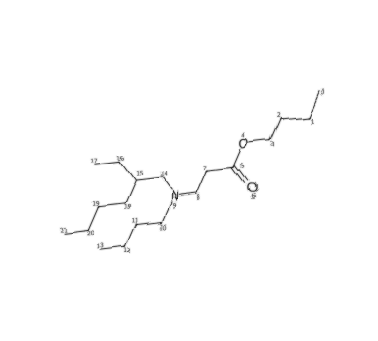 CCCCOC(=O)CCN(CCCC)CC(CC)CCCC